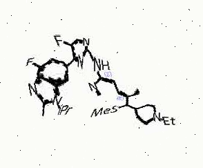 C=N/C(=C\C=C(/C)C(SC)C1CCN(CC)CC1)Nc1ncc(F)c(-c2cc(F)c3nc(C)n(C(C)C)c3c2)n1